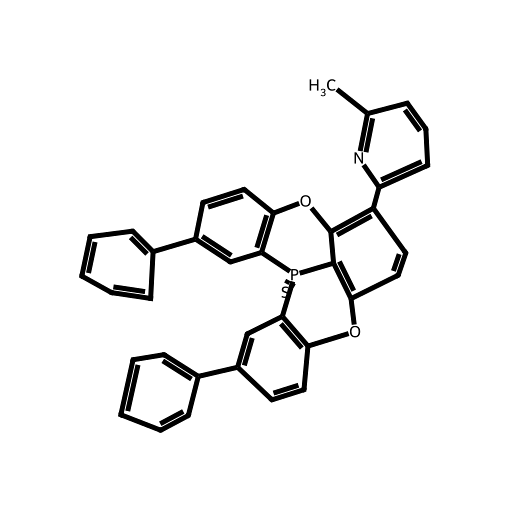 Cc1cccc(-c2ccc3c4c2Oc2ccc(-c5ccccc5)cc2P4(=S)c2cc(-c4ccccc4)ccc2O3)n1